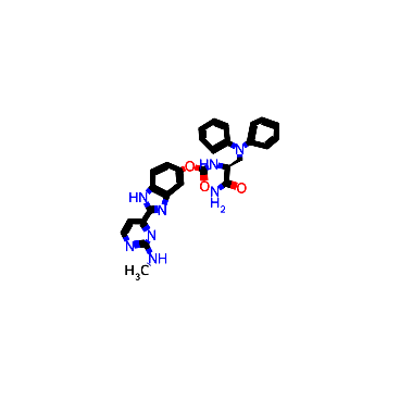 CNc1nccc(-c2nc3cc(OC(=O)N[C@@H](CN(c4ccccc4)c4ccccc4)C(N)=O)ccc3[nH]2)n1